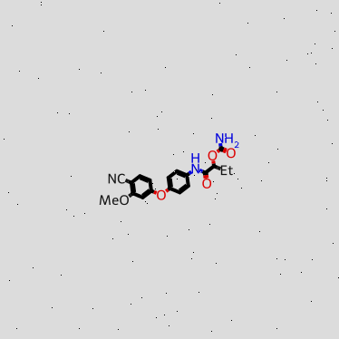 CCC(OC(N)=O)C(=O)Nc1ccc(Oc2ccc(C#N)c(OC)c2)cc1